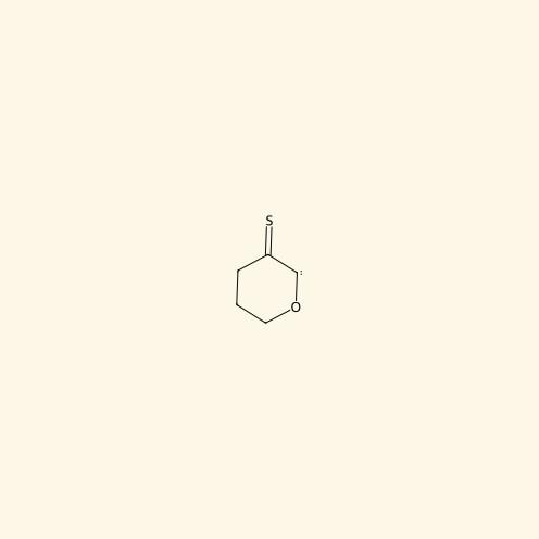 S=C1[C]OCCC1